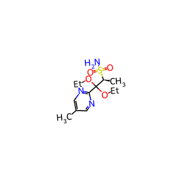 CCOC(OCC)(c1ncc(C)cn1)[C@H](C)S(N)(=O)=O